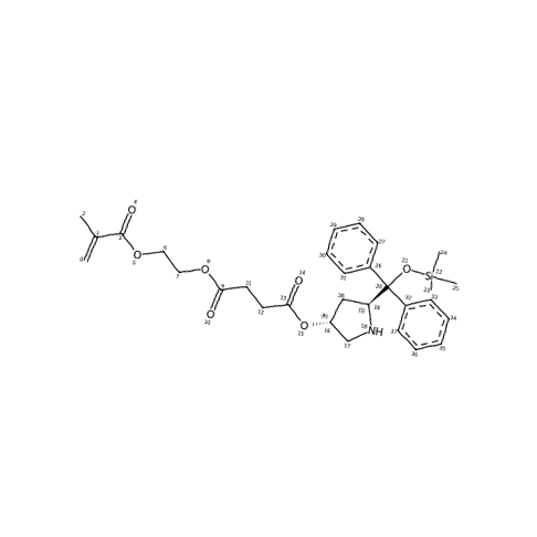 C=C(C)C(=O)OCCOC(=O)CCC(=O)O[C@H]1CN[C@H](C(O[Si](C)(C)C)(c2ccccc2)c2ccccc2)C1